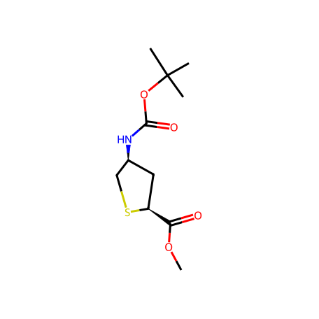 COC(=O)[C@@H]1C[C@H](NC(=O)OC(C)(C)C)CS1